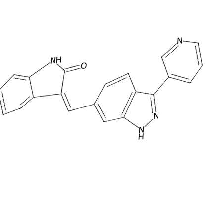 O=C1Nc2ccccc2/C1=C/c1ccc2c(-c3cccnc3)n[nH]c2c1